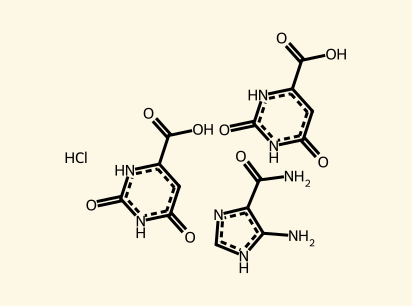 Cl.NC(=O)c1nc[nH]c1N.O=C(O)c1cc(=O)[nH]c(=O)[nH]1.O=C(O)c1cc(=O)[nH]c(=O)[nH]1